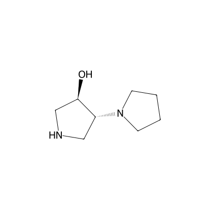 O[C@@H]1CNC[C@H]1N1CCCC1